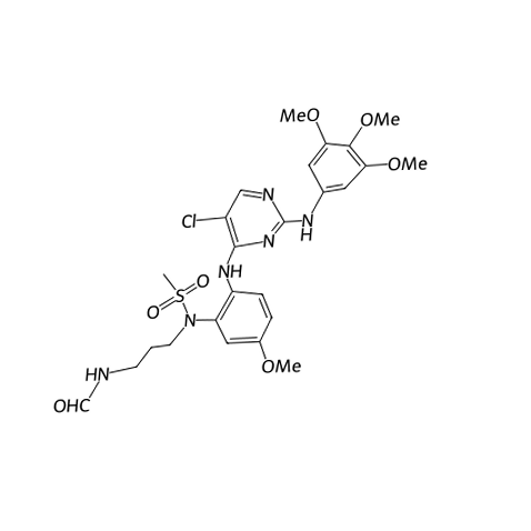 COc1ccc(Nc2nc(Nc3cc(OC)c(OC)c(OC)c3)ncc2Cl)c(N(CCCNC=O)S(C)(=O)=O)c1